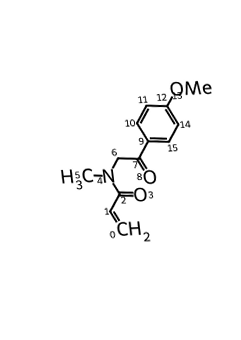 C=CC(=O)N(C)CC(=O)c1ccc(OC)cc1